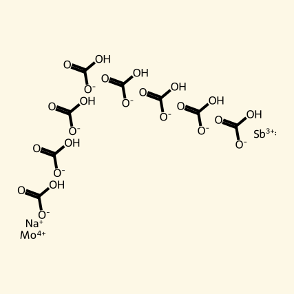 O=C([O-])O.O=C([O-])O.O=C([O-])O.O=C([O-])O.O=C([O-])O.O=C([O-])O.O=C([O-])O.O=C([O-])O.[Mo+4].[Na+].[Sb+3]